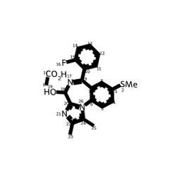 CC(=O)O.CSc1ccc2c(c1)C(c1ccccc1F)=NC(O)c1nc(C)c(C)n1-2